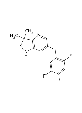 CC1(C)CNc2cc(Cc3cc(F)c(F)cc3F)cnc21